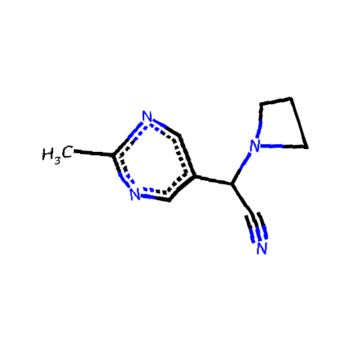 Cc1ncc(C(C#N)N2CCC2)cn1